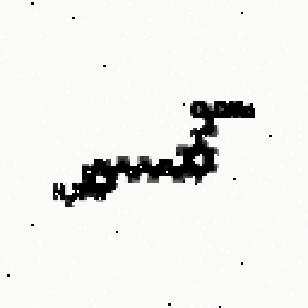 COC(=O)CCc1cccc(COCCCCC2=NN=C(N)SC2)c1